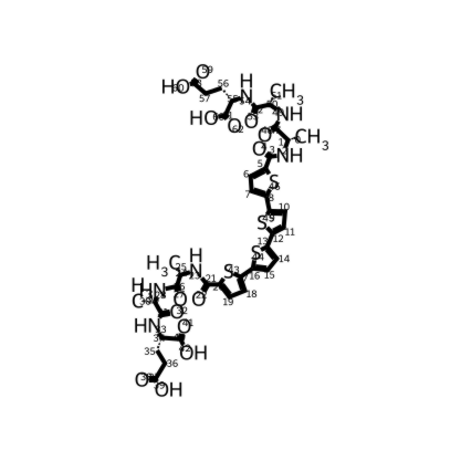 C[C@H](NC(=O)c1ccc(-c2ccc(-c3ccc(-c4ccc(C(=O)N[C@@H](C)C(=O)N[C@@H](C)C(=O)N[C@@H](CCC(=O)O)C(=O)O)s4)s3)s2)s1)C(=O)N[C@@H](C)C(=O)N[C@@H](CCC(=O)O)C(=O)O